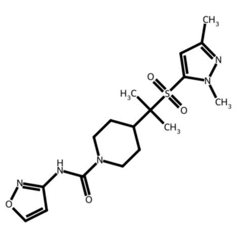 Cc1cc(S(=O)(=O)C(C)(C)C2CCN(C(=O)Nc3ccon3)CC2)n(C)n1